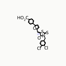 O=C(O)c1ccc(-c2ccc(/C=C3\SC(=S)N(Cc4ccc(Cl)c(Cl)c4)C3=O)o2)cc1